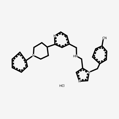 Cl.N#Cc1ccc(Cn2cncc2CNCc2ccnc(C3CCN(c4ccccc4)CC3)c2)cc1